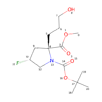 COC(=O)[C@@]1(CCCO)C[C@@H](F)CN1C(=O)OC(C)(C)C